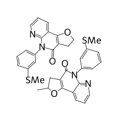 CSc1cccc(-n2c(=O)c3c(c4cccnc42)OC(C)C3)c1.CSc1cccc(-n2c(=O)c3c(c4cccnc42)OCC3)c1